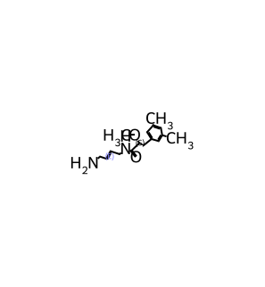 CO[C@@H](Cc1cc(C)cc(C)c1)C(=O)NC/C=C/CN